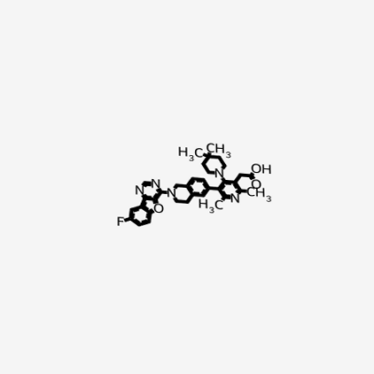 Cc1nc(C)c(-c2ccc3c(c2)CCN(c2ncnc4c2oc2ccc(F)cc24)C3)c(N2CCC(C)(C)CC2)c1CC(=O)O